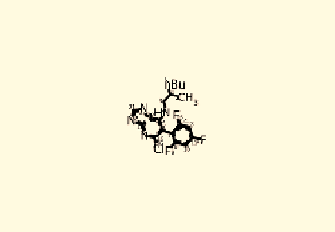 CCCCC(C)CNc1c(-c2c(F)cc(F)cc2F)c(Cl)nc2ncnn12